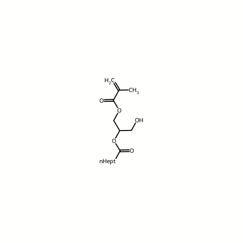 C=C(C)C(=O)OCC(CO)OC(=O)CCCCCCC